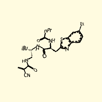 C=C(C#N)C(=O)NC[C@@H](NC(=O)[C@H](Cc1nc2ccc(CC)cc2s1)NC(=O)CCC)[C@@H](C)CC